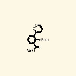 CCCCCc1c(C(=O)OC)cccc1C1=CC=COO1